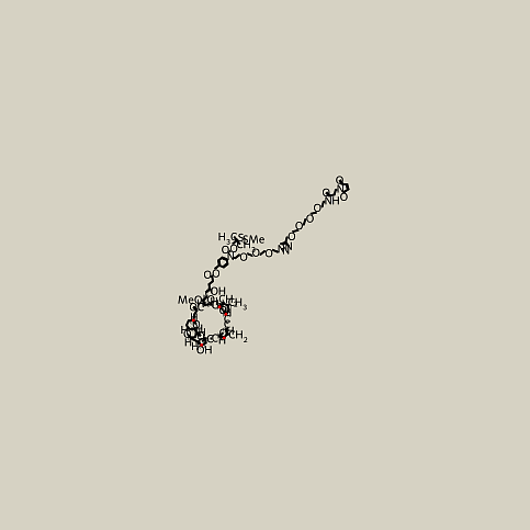 C=C1C[C@@H]2CC[C@]34C[C@@H](O)[C@H](O3)[C@H]3C[C@@H](O4)[C@H]4O[C@H](CC[C@@H]4O3)CC(=O)C[C@@H]3[C@@H](OC)[C@@H](C[C@H](O)CCC(=O)OCc4ccc(N(CCOCCOCCOCCn5cc(COCCOCCOCCOCCNC(=O)CCN6C(=O)C=CC6=O)nn5)C(=O)OCC(C)(C)SSC)cc4)O[C@H]3C[C@H]3O[C@@H](CC[C@@H]1O2)C[C@@H](C)C3=C